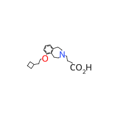 O=C(O)CCCN1CCc2cccc(OCCC3CCC3)c2CC1